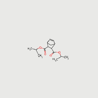 CC(C)OC(=O)C1C2C=CC(C2)C1C(=O)OC(C)C